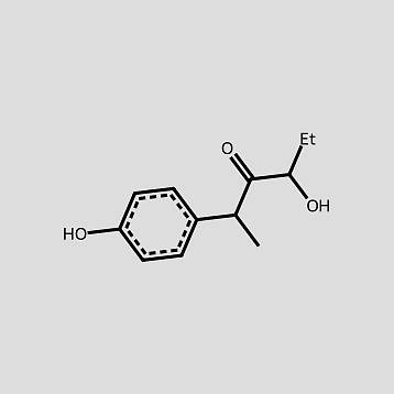 CCC(O)C(=O)C(C)c1ccc(O)cc1